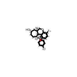 O=S(=O)(c1ccc(Cl)cc1)[C@]12CCC[C@H](O)C[C@H]1COc1c(F)ccc(F)c12